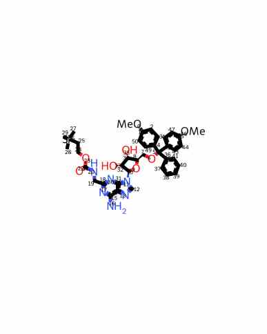 COc1ccc(C(OC[C@H]2O[C@@H](n3cnc4c(N)nc(CNC(=O)OCC[Si](C)(C)C)nc43)[C@H](O)[C@@H]2O)(c2ccccc2)c2ccc(OC)cc2)cc1